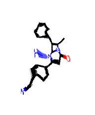 CC1C(c2ccccc2)C2NC(c3ccc(C#N)cc3)=CC(=O)N12